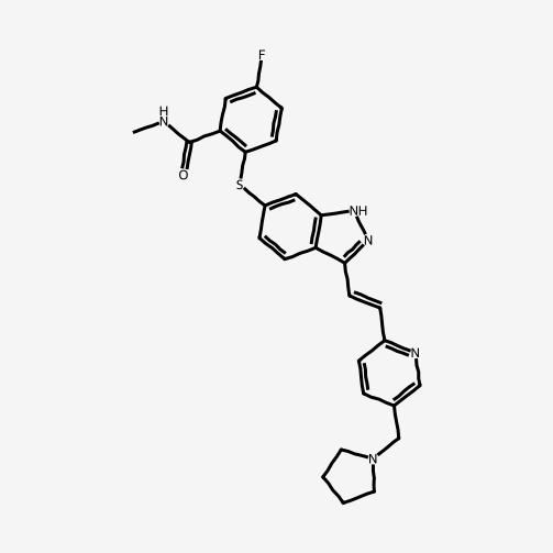 CNC(=O)c1cc(F)ccc1Sc1ccc2c(/C=C/c3ccc(CN4CCCC4)cn3)n[nH]c2c1